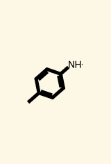 Cc1ccc([NH])cc1